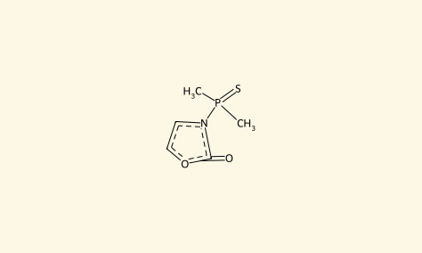 CP(C)(=S)n1ccoc1=O